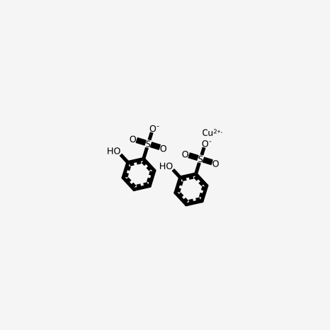 O=S(=O)([O-])c1ccccc1O.O=S(=O)([O-])c1ccccc1O.[Cu+2]